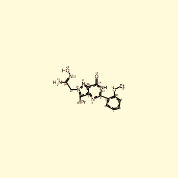 CCCc1c2nc(-c3ccccc3OCC)[nH]c(=O)c2nn1CC(N)=NO